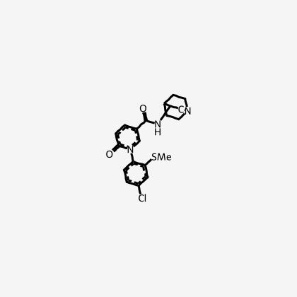 CSc1cc(Cl)ccc1-n1cc(C(=O)NC2CN3CCC2CC3)ccc1=O